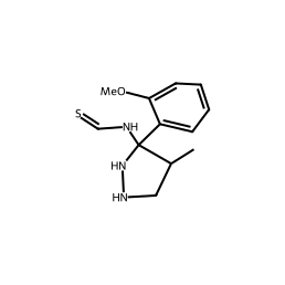 COc1ccccc1C1(NC=S)NNCC1C